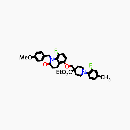 CCOC(=O)C1(COc2ccc(F)c3c2CCC(=O)N3Cc2ccc(OC)cc2)CCN(c2ccc(C)cc2F)CC1